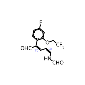 O=CN/C=C\C=C(\C=O)c1ccc(F)cc1OCC(F)(F)F